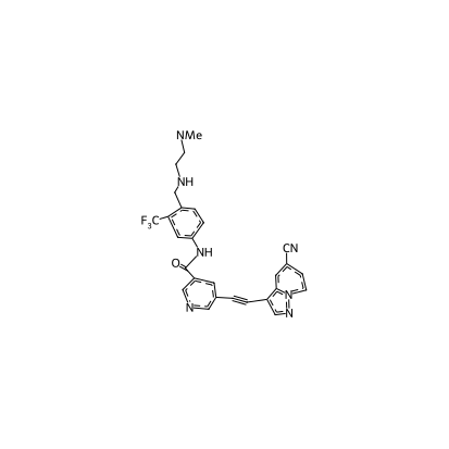 CNCCNCc1ccc(NC(=O)c2cncc(C#Cc3cnn4ccc(C#N)cc34)c2)cc1C(F)(F)F